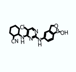 N#CC1CCCCC1Nc1nc(Nc2ccc3c(c2)COB3O)ncc1Cl